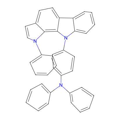 c1ccc(N(c2ccccc2)c2ccc(-n3c4ccccc4c4ccc5ccn(-c6ccccc6)c5c43)cc2)cc1